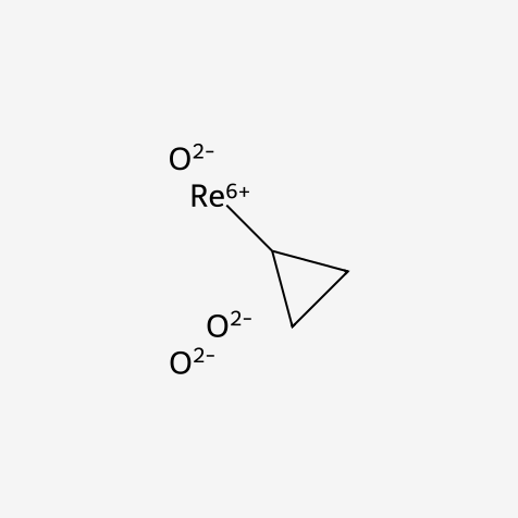 [O-2].[O-2].[O-2].[Re+6][CH]1CC1